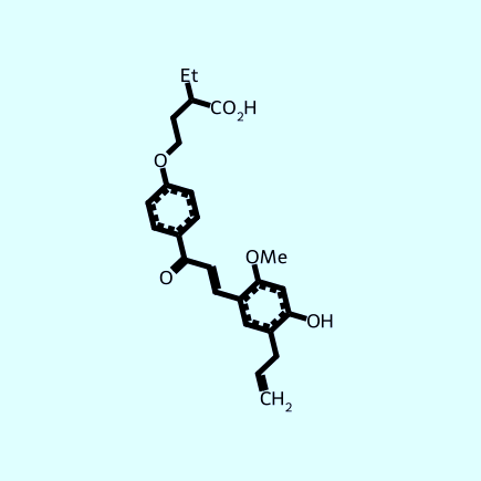 C=CCc1cc(C=CC(=O)c2ccc(OCCC(CC)C(=O)O)cc2)c(OC)cc1O